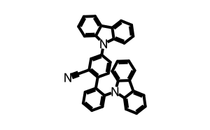 N#Cc1cc(-n2c3ccccc3c3ccccc32)ccc1-c1ccccc1-n1c2ccccc2c2ccccc21